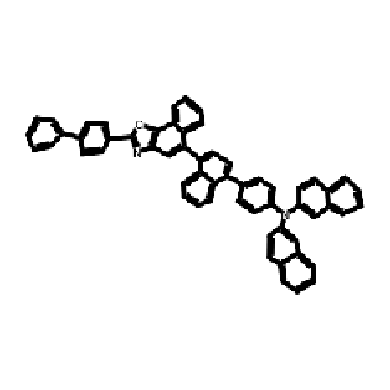 c1ccc(-c2ccc(-c3nc4cc(-c5ccc(-c6ccc(N(c7ccc8ccccc8c7)c7ccc8ccccc8c7)cc6)c6ccccc56)c5ccccc5c4o3)cc2)cc1